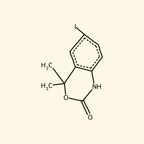 CC1(C)OC(=O)Nc2ccc(I)cc21